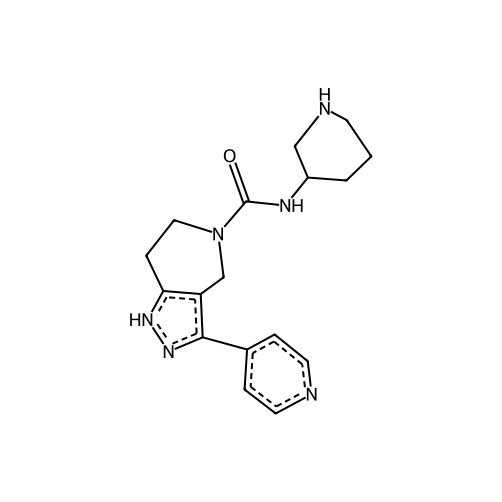 O=C(NC1CCCNC1)N1CCc2[nH]nc(-c3ccncc3)c2C1